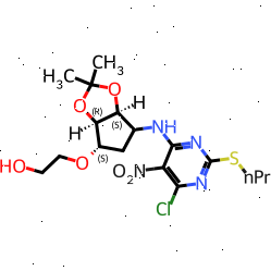 CCCSc1nc(Cl)c([N+](=O)[O-])c(NC2C[C@H](OCCO)[C@H]3OC(C)(C)O[C@@H]23)n1